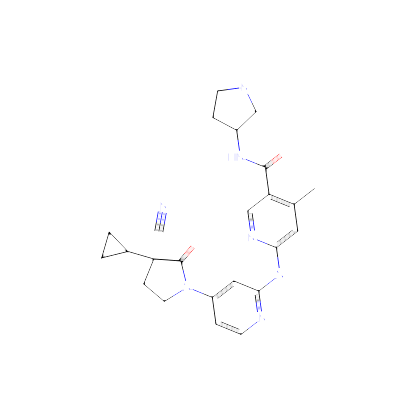 Cc1cc(Nc2cc(N3CC[C@@](C#N)(C4CC4)C3=O)ccn2)ncc1C(=O)NC1CCNC1